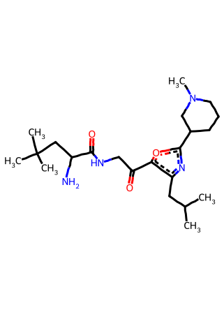 CC(C)Cc1nc(C2CCCN(C)C2)oc1C(=O)CNC(=O)C(N)CC(C)(C)C